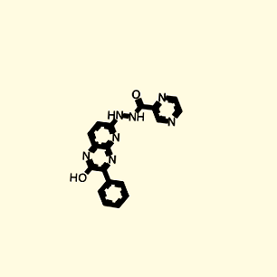 O=C(NNc1ccc2nc(O)c(-c3ccccc3)nc2n1)c1cnccn1